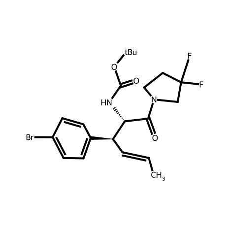 C/C=C/[C@@H](c1ccc(Br)cc1)[C@H](NC(=O)OC(C)(C)C)C(=O)N1CCC(F)(F)C1